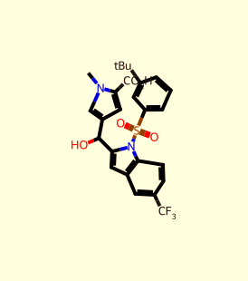 Cn1cc(C(O)c2cc3cc(C(F)(F)F)ccc3n2S(=O)(=O)c2cccc(C(C)(C)C)c2)cc1C(=O)O